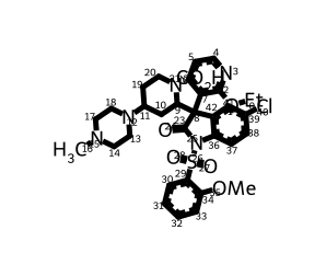 CCOc1ncccc1C1(C2CC(N3CCN(C)CC3)CCN2C(=O)O)C(=O)N(S(=O)(=O)c2ccccc2OC)c2ccc(Cl)cc21